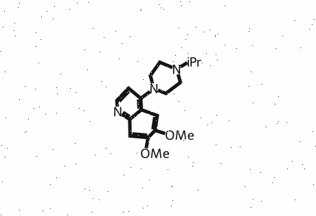 [CH2]C(C)N1CCN(c2ccnc3cc(OC)c(OC)cc23)CC1